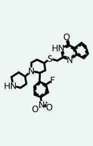 O=c1[nH]c(CSC2CCN(C3CCNCC3)C(c3ccc([N+](=O)[O-])cc3F)C2)nc2ccccc12